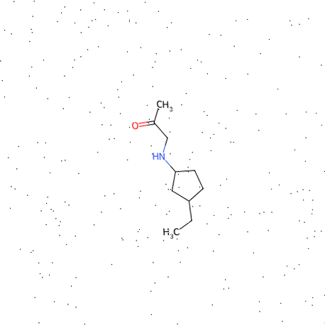 CCC1CCC(NCC(C)=O)C1